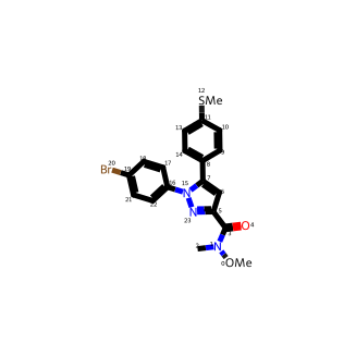 CON(C)C(=O)c1cc(-c2ccc(SC)cc2)n(-c2ccc(Br)cc2)n1